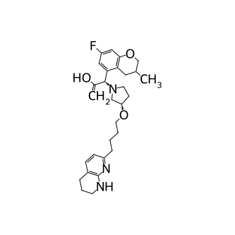 C=C(O)[C@@H](c1cc(F)cc2c1CC(C)CO2)N1CC[C@@H](OCCCCc2ccc3c(n2)NCCC3)C1